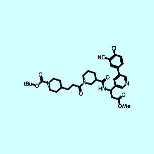 COC(=O)CC(NC(=O)C1CCCN(C(=O)CCC2CCN(C(=O)OC(C)(C)C)CC2)C1)c1cncc(-c2ccc(Cl)c(C#N)c2)c1